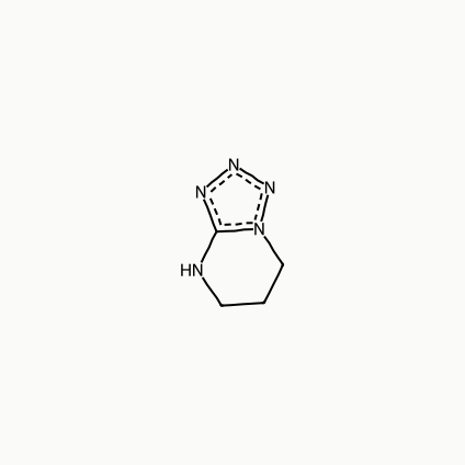 C1CNc2nnnn2C1